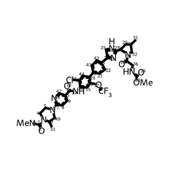 CNC(=O)N1CCN(c2ccc(C(=O)Nc3cc(OC(F)(F)F)c(-c4ccc(-c5c[nH]c(C6CC(C)CN6C(=O)CNC(=O)OC)n5)cc4)cc3Cl)cn2)CC1C